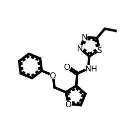 CCc1nnc(NC(=O)c2ccoc2COc2ccccc2)s1